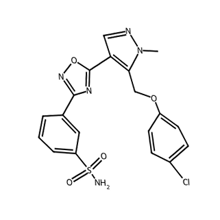 Cn1ncc(-c2nc(-c3cccc(S(N)(=O)=O)c3)no2)c1COc1ccc(Cl)cc1